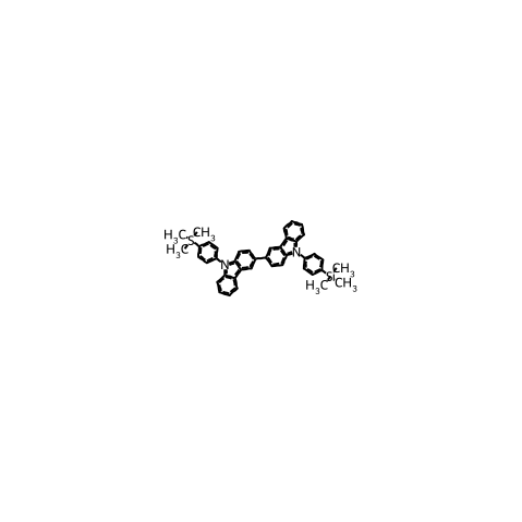 C[Si](C)(C)c1ccc(-n2c3ccccc3c3cc(-c4ccc5c(c4)c4ccccc4n5-c4ccc(S(C)(C)C)cc4)ccc32)cc1